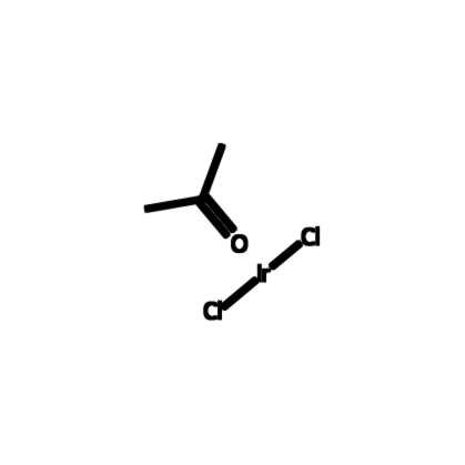 CC(C)=O.[Cl][Ir][Cl]